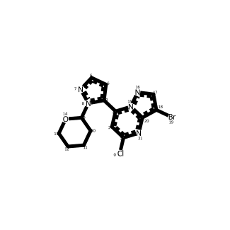 Clc1cc(-c2ccnn2C2CCCCO2)n2ncc(Br)c2n1